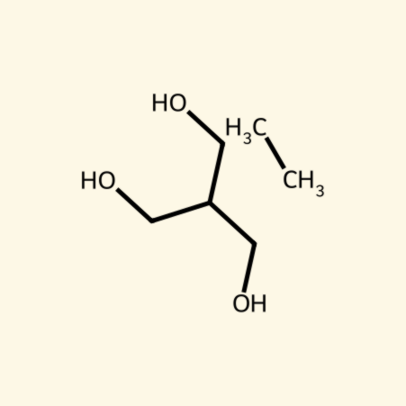 CC.OCC(CO)CO